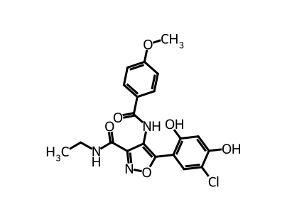 CCNC(=O)c1noc(-c2cc(Cl)c(O)cc2O)c1NC(=O)c1ccc(OC)cc1